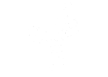 C1=CCC(n2c3c(c4c5ccccc5ccc42)C(c2cccc(N(c4ccc(C5=CC=C6C=CC=CC6C5)cc4)C4C=c5ccc6ccccc6c5=CC4)c2)CC=C3)C=C1